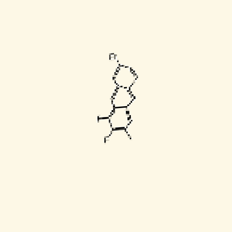 CCc1ccc2cc3cc(C)c(F)c(F)c3cc2c1